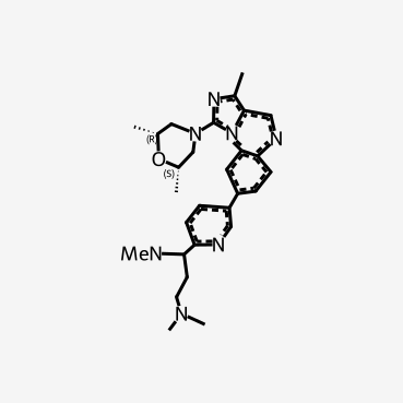 CNC(CCN(C)C)c1ccc(-c2ccc3ncc4c(C)nc(N5C[C@@H](C)O[C@@H](C)C5)n4c3c2)cn1